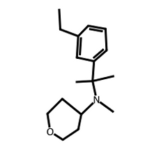 CCc1cccc(C(C)(C)N(C)C2CCOCC2)c1